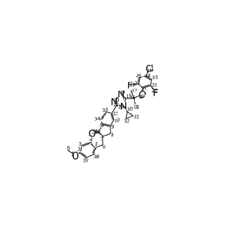 COc1ccc(CC2Cc3cc(-c4nnc(C(C)(C)Oc5c(F)cc(Cl)cc5F)n4C4CC4)ccc3C2=O)cc1